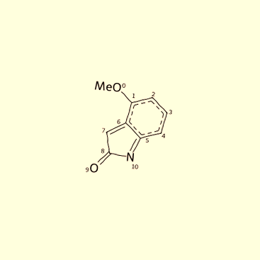 COc1cccc2c1=CC(=O)N=2